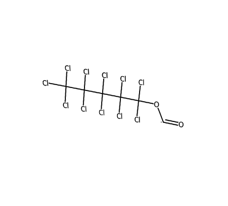 O=[C]OC(Cl)(Cl)C(Cl)(Cl)C(Cl)(Cl)C(Cl)(Cl)C(Cl)(Cl)Cl